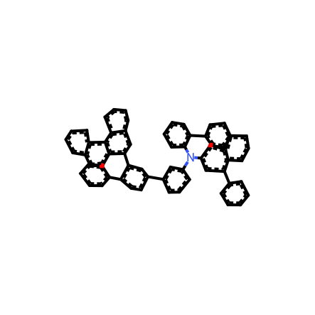 c1ccc(-c2ccc(-c3cccc(N(c4cc(-c5ccccc5)c5ccccc5c4)c4ccccc4-c4ccccc4)c3)cc2-c2cc3ccccc3c3c2ccc2ccccc23)cc1